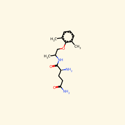 Cc1cccc(C)c1OCC(C)NC(=O)[C@@H](N)CCC(N)=O